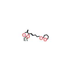 C=C(C)C(/C=C/CCCOC1CCCCO1)OC(=O)CC